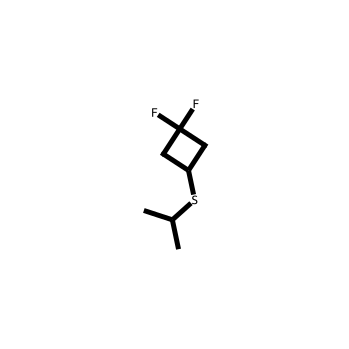 CC(C)SC1CC(F)(F)C1